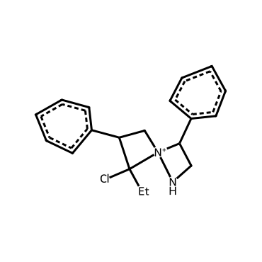 CCC1(Cl)C(c2ccccc2)C[N+]12NCC2c1ccccc1